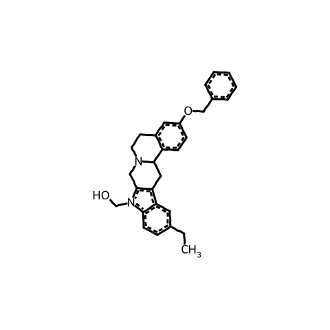 CCc1ccc2c(c1)c1c(n2CO)CN2CCc3cc(OCc4ccccc4)ccc3C2C1